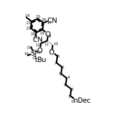 CCCCCCCCCCCCCCCCCCOC[C@H](CO[Si](C)(C)C(C)(C)C)Oc1c(C#N)cc(C)cc1C#N